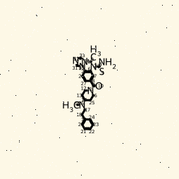 CCN(C(N)=S)c1cc(C(=O)N2CCC(N(C)CCc3ccccc3)CC2)ccc1-n1cncn1